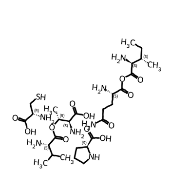 CC(C)[C@H](N)C(=O)O[C@H](C)[C@H](N)C(=O)O.CC[C@H](C)[C@H](N)C(=O)OC(=O)[C@@H](N)CCC(N)=O.N[C@@H](CS)C(=O)O.O=C(O)[C@@H]1CCCN1